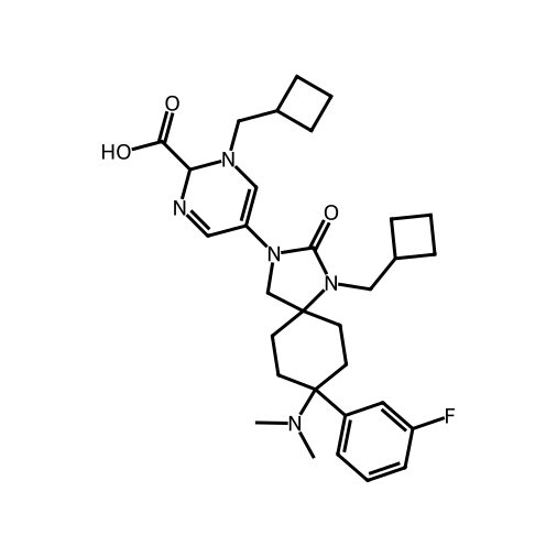 CN(C)C1(c2cccc(F)c2)CCC2(CC1)CN(C1=CN(CC3CCC3)C(C(=O)O)N=C1)C(=O)N2CC1CCC1